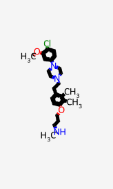 CNCCCOc1ccc(CCN2CCN(c3ccc(Cl)c(OC)c3)CC2)c(C)c1C